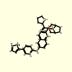 O=C(C1CCCO1)N1CC2CCC(C1)N2Cc1ccc2cc(Oc3ccc(-c4ccn[nH]4)cn3)ccc2n1